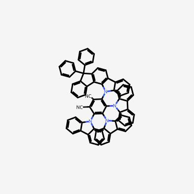 N#Cc1c(C#N)c(-n2c3ccccc3c3ccc4c(c32)-c2ccccc2C4(c2ccccc2)c2ccccc2)c(-n2c3ccccc3c3ccccc32)c(-n2c3ccccc3c3ccccc32)c1-n1c2ccccc2c2ccccc21